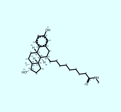 CNC(=O)CCCCCCCC[C@@H]1Cc2cc(O)ccc2[C@H]2CC[C@]3(C)[C@@H](O)CC[C@H]3[C@H]12